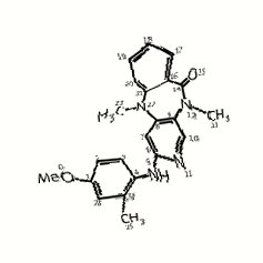 COc1ccc(Nc2cc3c(cn2)N(C)C(=O)c2ccccc2N3C)c(C)c1